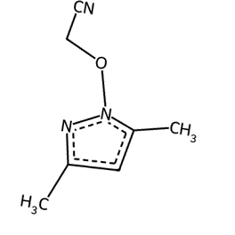 Cc1cc(C)n(OCC#N)n1